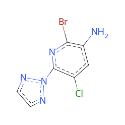 Nc1cc(Cl)c(-n2nccn2)nc1Br